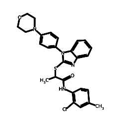 Cc1ccc(NC(=O)C(C)Sc2nc3ccccc3n2-c2ccc(N3CCOCC3)cc2)c(Cl)c1